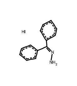 I.NN=C(c1ccccc1)c1ccccc1